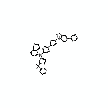 CC1(C)c2ccccc2-c2ccc(N(c3ccc(-c4ccc(N5CCc6cc(-c7ccccc7)ccc65)cc4)cc3)c3cccc4ccccc34)cc21